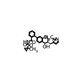 Cn1nccc1C[C@@H]1COc2cc(-c3ccccc3C(=O)NS(=O)(=O)C3(C)CC3)ccc2[C@H]1O